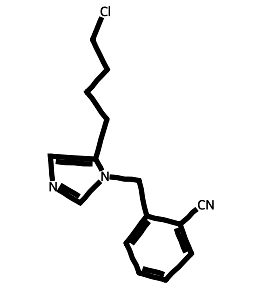 N#Cc1ccccc1Cn1cncc1CCCCCl